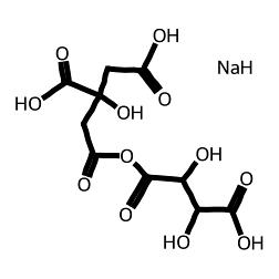 O=C(O)CC(O)(CC(=O)OC(=O)C(O)C(O)C(=O)O)C(=O)O.[NaH]